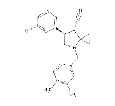 Cc1ccc(CN2C[C@@H](c3cncc(Cl)c3)[C@H](C#N)C23CC3)cc1C